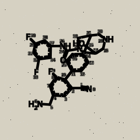 N#Cc1cc(CN)cc(F)c1-c1ccc(C2(O)C3CNCC2CN(C(=O)Nc2cc(F)cc(F)c2)C3)cc1